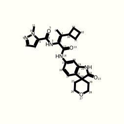 CC(=C(NC(=O)c1ccnn1C)C(=O)Nc1ccc2c(c1)NC(=O)C21CCOCC1)C1CCC1